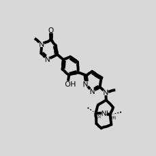 CN(c1ccc(-c2ccc(-c3cc(=O)n(C)cn3)cc2O)nn1)C1C[C@]2(C)CCC[C@](C)(C1)N2